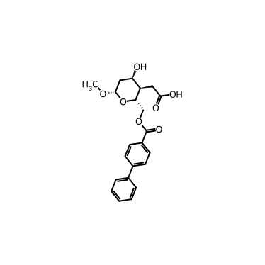 CO[C@@H]1C[C@@H](O)[C@@H](CC(=O)O)[C@H](COC(=O)c2ccc(-c3ccccc3)cc2)O1